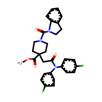 COC(=O)C1(CC(=O)N(c2ccc(F)cc2)c2ccc(F)cc2)CCN(C(=O)N2CCc3ccccc32)CC1